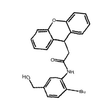 CC(C)(C)c1ccc(CO)cc1NC(=O)CC1c2ccccc2Oc2ccccc21